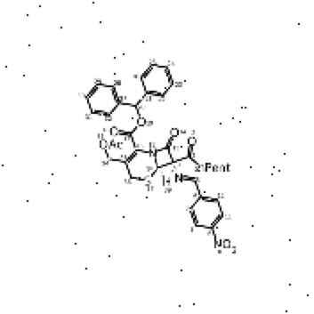 CCCCCC(=O)[C@]1(N=Cc2ccc([N+](=O)[O-])cc2)C(=O)N2C(C(=O)OC(c3ccccc3)c3ccccc3)=C(COC(C)=O)CS[C@@H]21